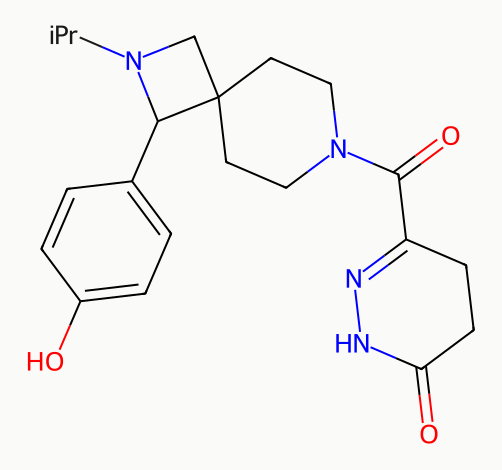 CC(C)N1CC2(CCN(C(=O)C3=NNC(=O)CC3)CC2)C1c1ccc(O)cc1